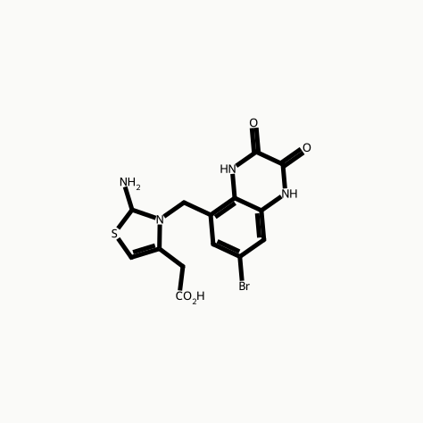 NC1SC=C(CC(=O)O)N1Cc1cc(Br)cc2[nH]c(=O)c(=O)[nH]c12